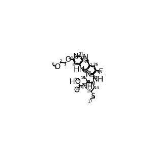 COCCOc1cc(Nc2nc(N[C@@H](CCSC)[C@H](C)NC(=O)O)c(F)cc2C#N)ccn1